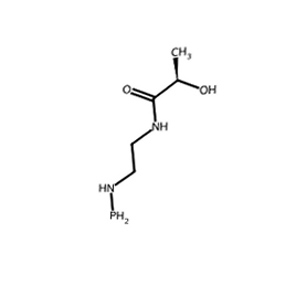 C[C@@H](O)C(=O)NCCNP